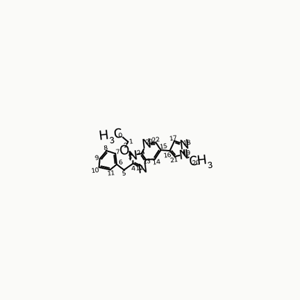 CCOn1c(Cc2ccccc2)nc2cc(-c3cnn(C)c3)cnc21